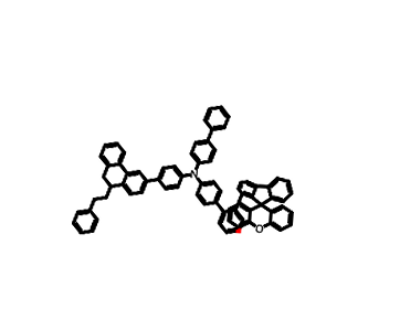 c1ccc(CCC2Cc3ccccc3-c3cc(-c4ccc(N(c5ccc(-c6ccccc6)cc5)c5ccc(-c6ccccc6-c6cccc7c6C6(c8ccccc8Oc8ccccc86)c6ccccc6-7)cc5)cc4)ccc32)cc1